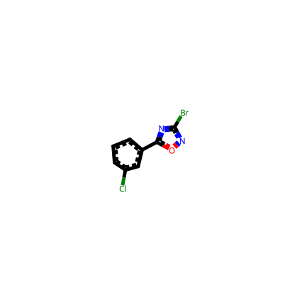 Clc1cccc(-c2nc(Br)no2)c1